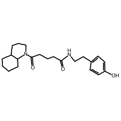 O=C(CCCC(=O)N1CCCC2CCCCC21)NCCc1ccc(O)cc1